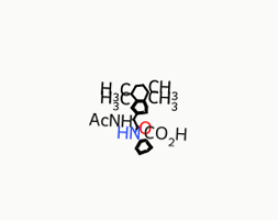 CC(=O)NC(C(=O)Nc1ccccc1C(=O)O)c1ccc2c(c1)C(C)(C)CCC2(C)C